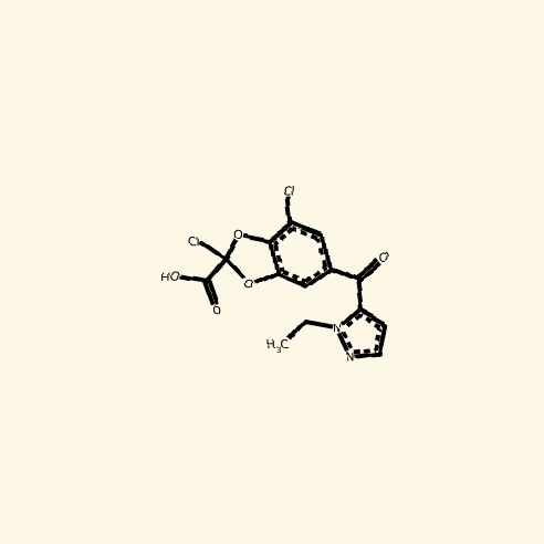 CCn1nccc1C(=O)c1cc(Cl)c2c(c1)OC(Cl)(C(=O)O)O2